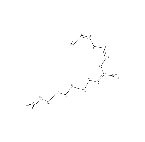 CC/C=C\C/C=C\C/C(=C\CCCCCCCC(=O)O)[N+](=O)[O-]